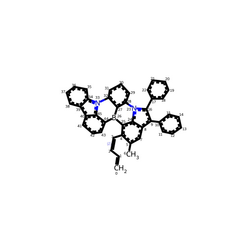 C=C/C=C\c1c(C)cc2c(-c3ccccc3)c(-c3ccccc3)n3c2c1B1c2c-3cccc2-n2c3ccccc3c3cccc1c32